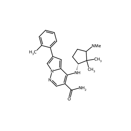 CNC1CC[C@@H](Nc2c(C(N)=O)cnn3cc(-c4ccccc4C)cc23)C1(C)C